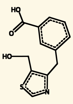 O=C(O)c1cccc(Cc2ncsc2CO)c1